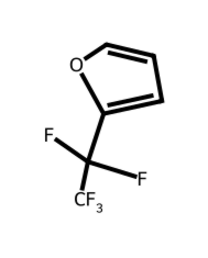 FC(F)(F)C(F)(F)c1ccco1